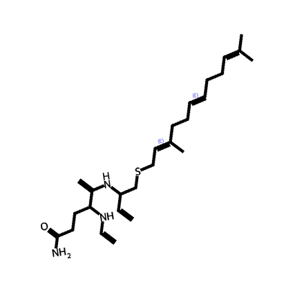 C=CNC(CCC(N)=O)C(=C)NC(C=C)CSC/C=C(\C)CC/C=C/CCC=C(C)C